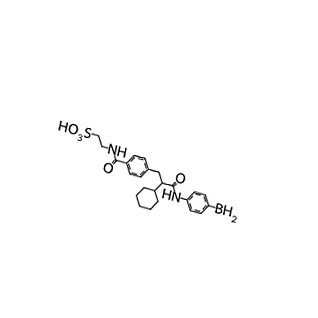 Bc1ccc(NC(=O)C(Cc2ccc(C(=O)NCCS(=O)(=O)O)cc2)C2CCCCC2)cc1